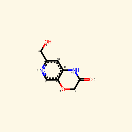 O=C1COc2cnc(CO)cc2N1